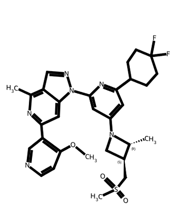 COc1ccncc1-c1cc2c(cnn2-c2cc(N3C[C@H](CS(C)(=O)=O)[C@H]3C)cc(C3CCC(F)(F)CC3)n2)c(C)n1